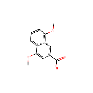 COc1cc(C(=O)O)cc2c(OC)cccc12